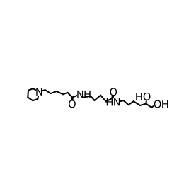 O=C(CCCCCN1CCCCC1)NCCCCCC(=O)NCCCCC(O)CO